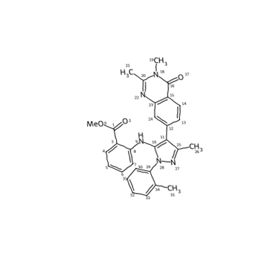 COC(=O)c1ccccc1Nc1c(-c2ccc3c(=O)n(C)c(C)nc3c2)c(C)nn1-c1ccccc1C